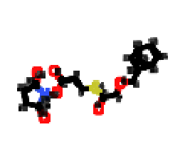 O=C(CCSC(=O)COCC1CC2C=CC1C2)ON1C(=O)CCC1=O